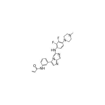 C=CC(=O)Nc1cccc(-c2cnc3cnc(Nc4ccc(N5CCN(C)CC5)c(F)c4F)cn23)c1